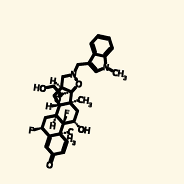 Cn1cc(CN2C[C@@H]3C[C@H]4[C@@H]5C[C@H](F)C6=CC(=O)C=C[C@]6(C)[C@@]5(F)[C@@H](O)C[C@]4(C)[C@]3(C(=O)CO)O2)c2ccccc21